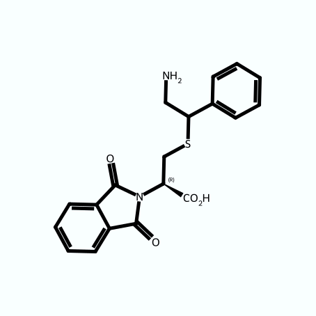 NCC(SC[C@@H](C(=O)O)N1C(=O)c2ccccc2C1=O)c1ccccc1